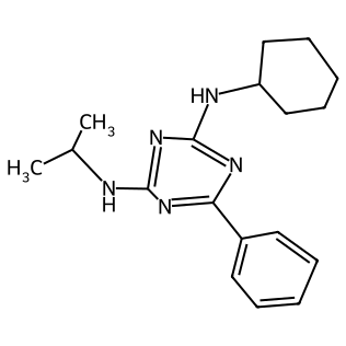 CC(C)Nc1nc(NC2CCCCC2)nc(-c2ccccc2)n1